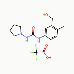 Cc1ccc(NC(=O)NN2CCCC2)cc1CO.O=C(O)C(F)(F)F